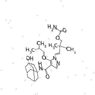 CC(C)COc1c(C(=O)N[C@]23CC4CC(C[C@@](O)(C4)C2)C3)cnn1/C=C/C(C)(C)COC(N)=O